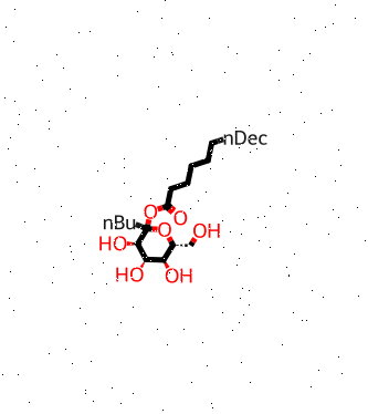 CCCCCCCCCCCCCCCC(=O)OC1(CCCC)O[C@H](CO)[C@@H](O)[C@H](O)[C@H]1O